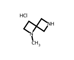 CN1CCC12CNC2.Cl